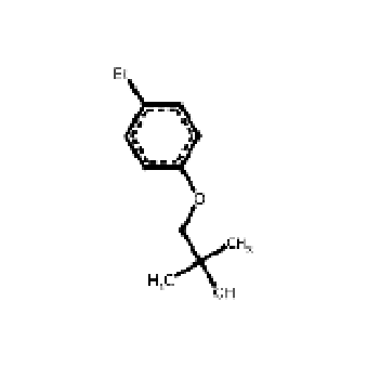 CCc1ccc(OCC(C)(C)O)cc1